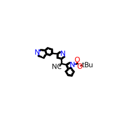 CC(C)(C)OC(=O)n1cc(C(C#N)c2cncc(-c3ccc4cnccc4c3)c2)c2ccccc21